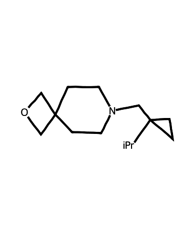 CC(C)C1(CN2CCC3(CC2)COC3)CC1